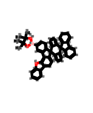 CC1(C)OB(c2ccc3c(c2)-c2c(ccc4c2oc2ccccc24)C32c3ccccc3C3(c4ccccc4-c4ccccc43)c3ccccc32)OC1(C)C